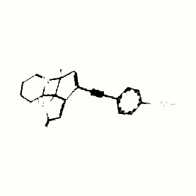 COc1ccc(C#CC2=C[C@H]3N4CCCC[C@@H]4C34OC(=O)C=C24)cc1